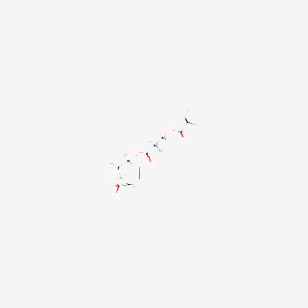 C=C(C)C(=O)OC(C)(C)C(C)(C)C(=O)OC1(C)CCC2CC1(C)OC2=O